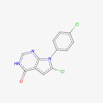 O=c1[nH]cnc2c1cc(Cl)n2-c1ccc(Cl)cc1